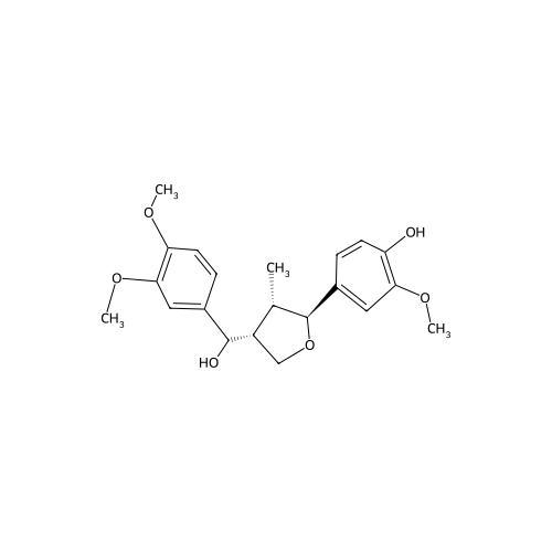 COc1cc([C@H]2OC[C@H](C(O)c3ccc(OC)c(OC)c3)[C@@H]2C)ccc1O